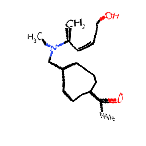 C=C(/C=C\CO)N(C)CC1CCC(C(=O)NC)CC1